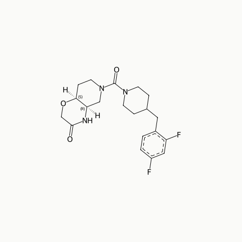 O=C1CO[C@H]2CCN(C(=O)N3CCC(Cc4ccc(F)cc4F)CC3)C[C@H]2N1